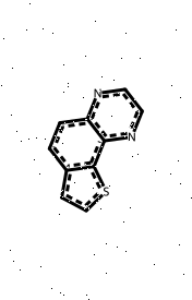 c1cnc2c(ccc3ccsc32)n1